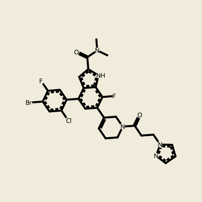 CN(C)C(=O)c1cc2c(-c3cc(F)c(Br)cc3Cl)cc(C3=CCCN(C(=O)CCn4cccn4)C3)c(F)c2[nH]1